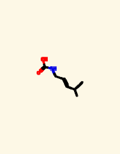 CC(C)C=CCNC(=O)O